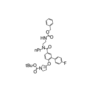 CCCN(CCNC(=O)OCc1ccccc1)C(=O)c1ccc(O[C@H]2CCN(C(=O)OC(C)(C)C)C2)c(-c2ccc(F)cc2)c1